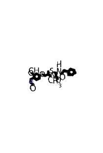 COc1cc(OCC2=C(C)N3C(=O)C(NC(=O)Cc4ccccc4)C3SC2)ccc1/C=C\C=O